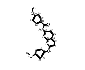 COc1ccc(Oc2ccc3ccc(NC(=O)c4ccc(OC)cc4)nc3n2)cc1